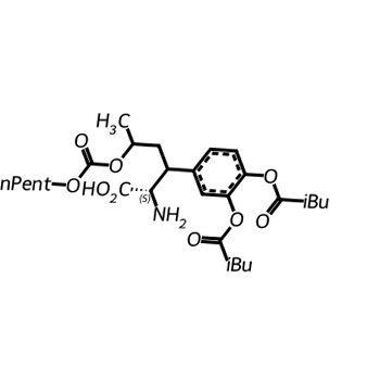 CCCCCOC(=O)OC(C)CC(c1ccc(OC(=O)C(C)CC)c(OC(=O)C(C)CC)c1)[C@H](N)C(=O)O